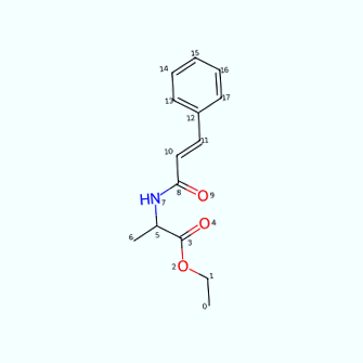 CCOC(=O)C(C)NC(=O)C=Cc1ccccc1